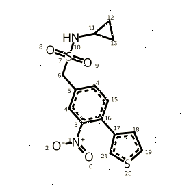 O=[N+]([O-])c1cc(CS(=O)(=O)NC2CC2)ccc1-c1ccsc1